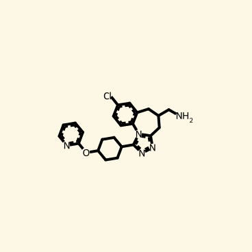 NCC1Cc2cc(Cl)ccc2-n2c(nnc2C2CCC(Oc3ccccn3)CC2)C1